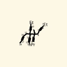 [C]#CC(C)(CC#CCC)C(C#CCC)(C#CCCC)CC#CC